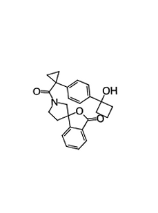 O=C1OC2(CCN(C(=O)C3(c4ccc(C5(O)CCC5)cc4)CC3)C2)c2ccccc21